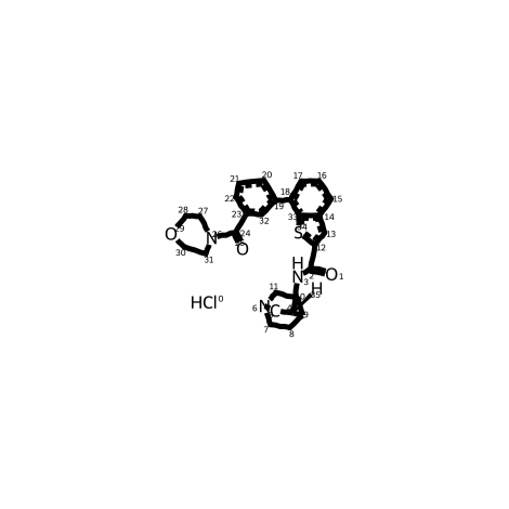 Cl.O=C(N[C@H]1CN2CCC1CC2)c1cc2cccc(-c3cccc(C(=O)N4CCOCC4)c3)c2s1